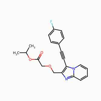 CC(C)OC(=O)COCc1nc2ccccn2c1C#Cc1ccc(F)cc1